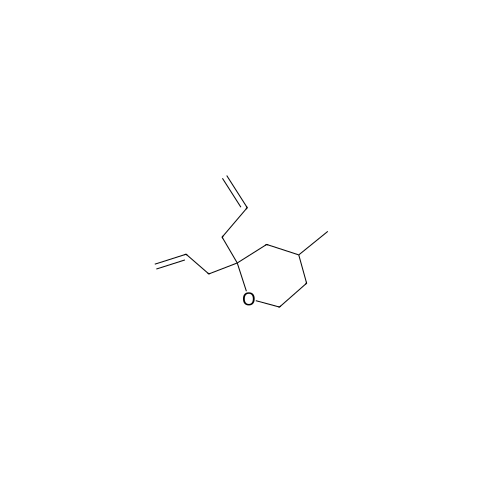 C=CCC1(CC=C)CC(C)CCO1